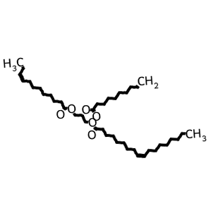 C=CCCCCCCCC(=O)OC(COC(=O)CCCCCCC/C=C\CC)COC(=O)CCCCCCC/C=C\CCCCCCCC